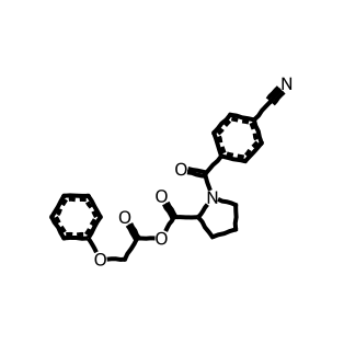 N#Cc1ccc(C(=O)N2CCCC2C(=O)OC(=O)COc2ccccc2)cc1